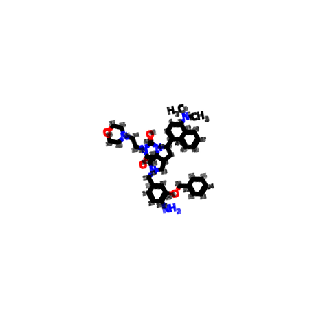 CN(C)c1ccc(C2CC3CN(Cc4ccc(N)c(OCc5ccccc5)c4)CC34C(=O)N(CCN3CCOCC3)C(=O)N24)c2ccccc12